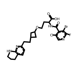 O=C(NC(CCOC1CC(CCc2ccc3c(n2)NCCC3)C1)C(=O)O)c1c(Cl)cnc(F)c1Br